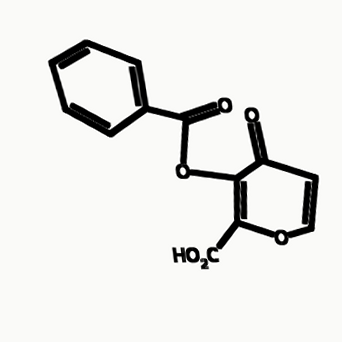 O=C(Oc1c(C(=O)O)occc1=O)c1ccccc1